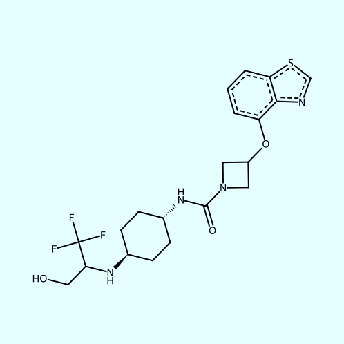 O=C(N[C@H]1CC[C@H](NC(CO)C(F)(F)F)CC1)N1CC(Oc2cccc3scnc23)C1